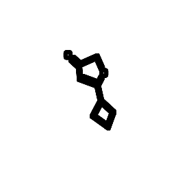 O=C1C=C(C2CCC2)OC1